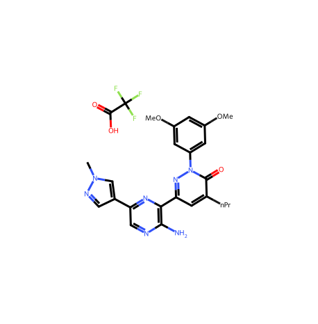 CCCc1cc(-c2nc(-c3cnn(C)c3)cnc2N)nn(-c2cc(OC)cc(OC)c2)c1=O.O=C(O)C(F)(F)F